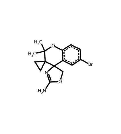 CC1(C)Oc2ccc(Br)cc2C2(COC(N)=N2)C12CC2